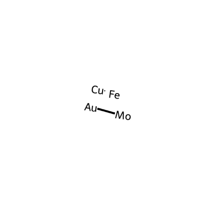 [Cu].[Fe].[Mo][Au]